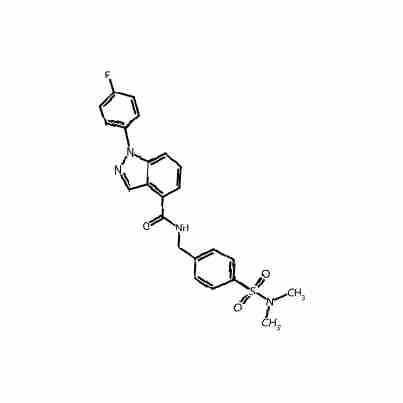 CN(C)S(=O)(=O)c1ccc(CNC(=O)c2cccc3c2cnn3-c2ccc(F)cc2)cc1